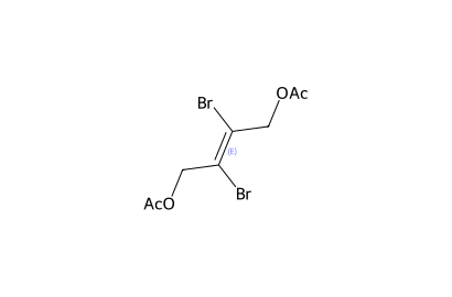 CC(=O)OC/C(Br)=C(\Br)COC(C)=O